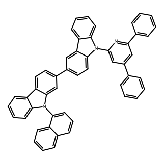 c1ccc(-c2cc(-c3ccccc3)nc(-n3c4ccccc4c4cc(-c5ccc6c7ccccc7n(-c7cccc8ccccc78)c6c5)ccc43)c2)cc1